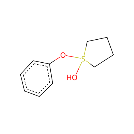 OS1(Oc2ccccc2)CCCC1